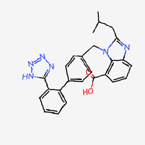 CC(C)Cc1nc2cccc(C(=O)O)c2n1Cc1ccc(-c2ccccc2-c2nnn[nH]2)cc1